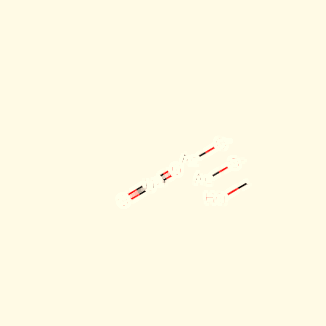 CC(=O)[O-].CC(=O)[O-].CO.[O]=[U+2]=[O]